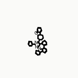 C1=CCC2C(=C1)c1cccc3c1N2c1nc(-c2ccccc2)nc(C2CCCC4c5ccccc5OC4C2)c1-c1ccccc1-3